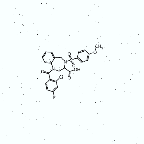 COc1ccc(S(=O)(=O)N2Cc3ccccc3N(C(=O)c3ccc(F)cc3Cl)CC2C(=O)O)cc1